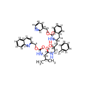 CC(C)[C@H](NC(=O)OCc1ccc2ccccc2n1)C(=O)N[C@@H](Cc1ccccc1)[C@@H](O)C[C@H](Cc1ccccc1)NC(=O)OCc1cccnc1